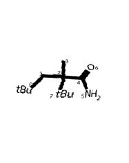 CC(C)(C)CC(C)(C(N)=O)C(C)(C)C